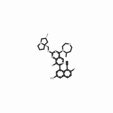 C#Cc1c(F)ccc2cc(O)cc(-c3ncc4c(N5CCOCCC5C)nc(OC[C@@]56CCCN5C[C@H](F)C6)nc4c3F)c12